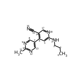 CCCNc1cc(-c2cnc(C)nc2)c(C#N)cn1